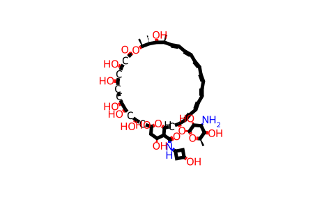 C[C@@H]1OC(=O)CC(O)CC(O)CCC(O)C(O)CC(O)CC2(O)C[C@H](O)C(C(=O)NC3CC(O)C3)[C@H](CC(O[C@@H]3O[C@H](C)C(O)[C@H](N)[C@@H]3O)/C=C/C=C/C=C/C=C/C=C/C=C/C=C/[C@H](C)C(O)[C@H]1C)O2